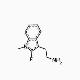 Cn1c(F)c(CCN)c2ccccc21